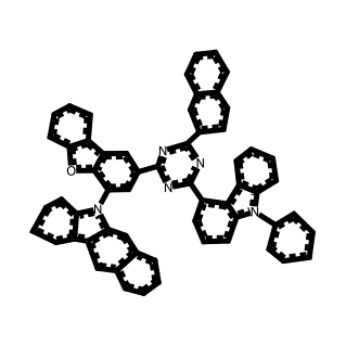 c1ccc(-n2c3ccccc3c3c(-c4nc(-c5ccc6ccccc6c5)nc(-c5cc(-n6c7ccccc7c7cc8ccccc8cc76)c6oc7ccccc7c6c5)n4)cccc32)cc1